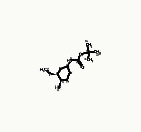 CC[C@@H]1C[C@@H](NC(=O)OC(C)(C)C)CC[C@H]1O